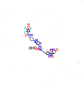 Cn1c(=O)n([C@@H]2CCC(=O)NC2=O)c2ccc(CCCN3CCN(c4cc5cn(C6CCC(CNC(=O)c7cc(F)c(O)c(F)c7F)CC6)nc5cn4)CC3)cc21.O=CO